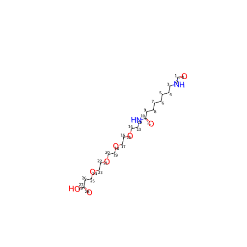 O=CNCCCCCCCC(=O)NCCOCCOCCOCCOCCC(=O)O